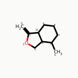 C=C1OCC2C(C)CCCC12